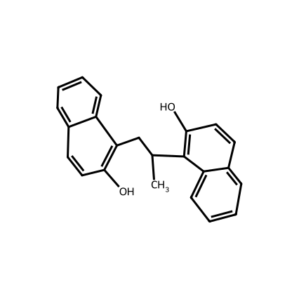 CC(Cc1c(O)ccc2ccccc12)c1c(O)ccc2ccccc12